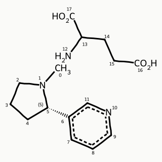 CN1CCC[C@H]1c1cccnc1.NC(CCC(=O)O)C(=O)O